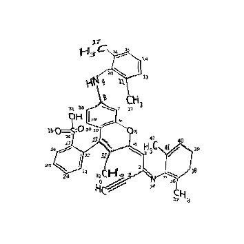 C#CC(/C=C1/Oc2cc(Nc3c(C)cccc3C)ccc2C(c2ccccc2S(=O)(=O)O)=C1C)=N/C1=C(C)CCC=C1C